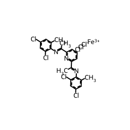 CC(=Nc1c(C)cc(Cl)cc1Cl)c1cccc(C(C)=Nc2c(C)cc(Cl)cc2Cl)n1.[Cl-].[Cl-].[Cl-].[Fe+3]